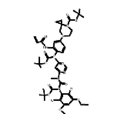 C=CC(=O)Nc1cc(N2CCN(C(=O)OC(C)(C)C)C3(CC3)C2)ccc1N(C(=O)OC(C)(C)C)c1cc(N(C)C(=O)N(C(=O)OC(C)(C)C)c2c(Cl)c(OC)cc(OCC)c2Cl)ncn1